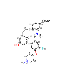 CCN(Cc1ccc(OC2CCN(C)CC2)c(F)c1)c1cc(OC)ccc1C1CCc2cc(O)ccc2C1